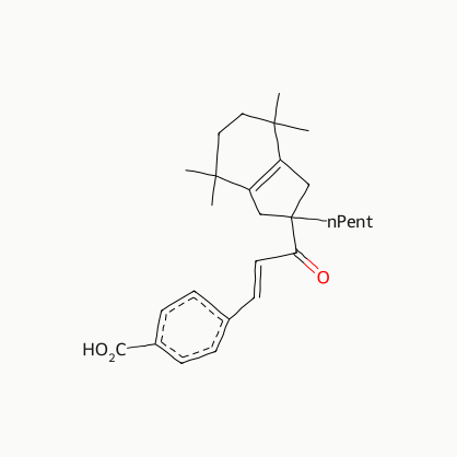 CCCCCC1(C(=O)C=Cc2ccc(C(=O)O)cc2)CC2=C(C1)C(C)(C)CCC2(C)C